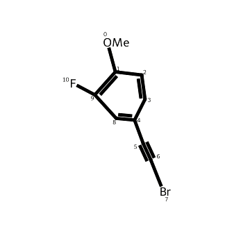 COc1ccc(C#CBr)cc1F